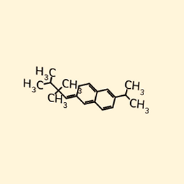 CC(C)c1ccc2c(c1)=CC/C(=C\C(C)(C)C(C)C)C=2